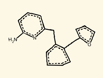 Nc1cccc(Cc2ccccc2-c2ccco2)n1